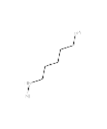 CCCCCCCCN[NH]